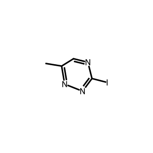 Cc1cnc(I)nn1